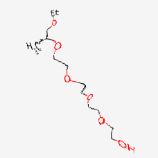 CCOCC(C)OCCOCCOCCOCCO